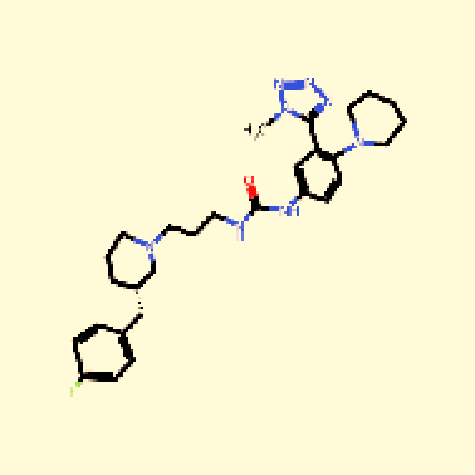 Cn1nnnc1-c1cc(NC(=O)NCCCN2CCC[C@@H](Cc3ccc(F)cc3)C2)ccc1N1CCCCC1